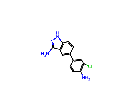 Nc1ccc(-c2ccc3[nH]nc(N)c3c2)cc1Cl